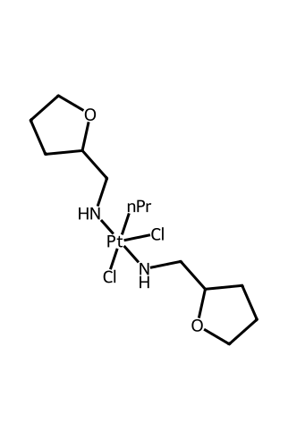 CC[CH2][Pt]([Cl])([Cl])([NH]CC1CCCO1)[NH]CC1CCCO1